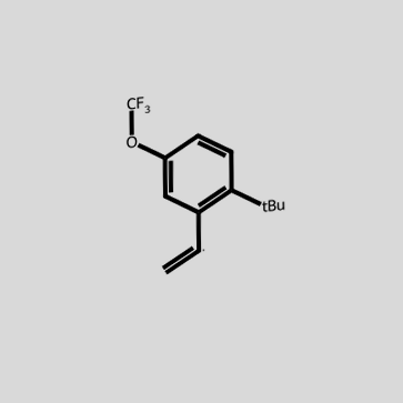 C=[C]c1cc(OC(F)(F)F)ccc1C(C)(C)C